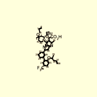 C=CCOC1(C)CCN(c2c(C(OC(C)(C)C)C(=O)O)c(C)nc3cc(-c4cccc(-c5cc(C(F)(F)F)ccc5OC(C)CC=C)c4)nn23)CC1